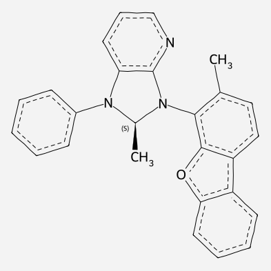 Cc1ccc2c(oc3ccccc32)c1N1c2ncccc2N(c2ccccc2)[C@@H]1C